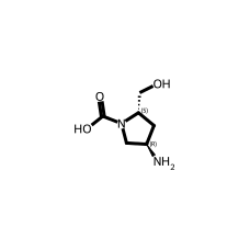 N[C@@H]1C[C@@H](CO)N(C(=O)O)C1